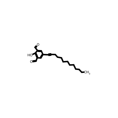 CCCCCCCCCCCC#Cc1cc(C=O)c(O)c(C=O)c1